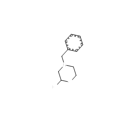 OC1CN(Cc2ccccc2)CCO1